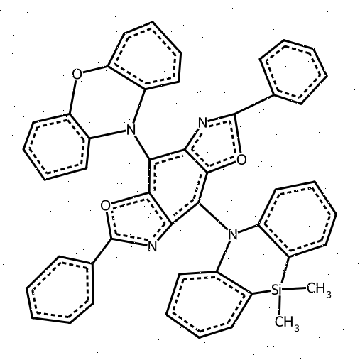 C[Si]1(C)c2ccccc2N(c2c3nc(-c4ccccc4)oc3c(N3c4ccccc4Oc4ccccc43)c3nc(-c4ccccc4)oc23)c2ccccc21